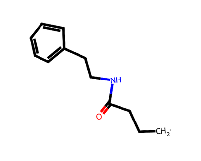 [CH2]CCC(=O)NCCc1ccccc1